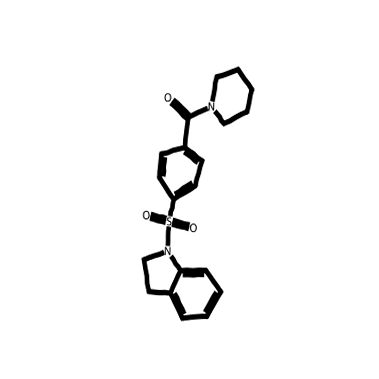 O=C(c1ccc(S(=O)(=O)N2CCc3ccccc32)cc1)N1CCCCC1